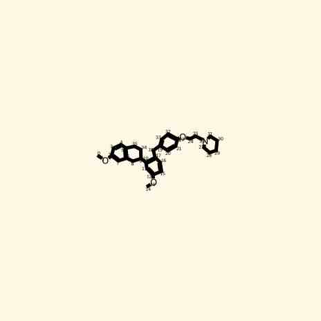 COc1ccc2c(c1)CC(c1cc(OC)ccc1Cc1ccc(OCCN3CCCCC3)cc1)CC2